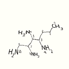 CCCC(N)C(N)C(N)CN